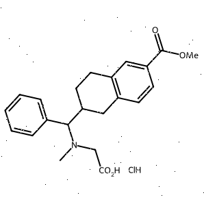 COC(=O)c1ccc2c(c1)CCC(C(c1ccccc1)N(C)CC(=O)O)C2.Cl